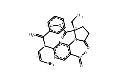 C=C(c1ccccc1)N(/C=C\N)c1ncc([N+](=O)[O-])c(N2C(=O)CC[C@@]2(CC)C(=O)OC)n1